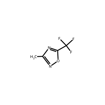 Cc1noc(C(F)(F)F)n1